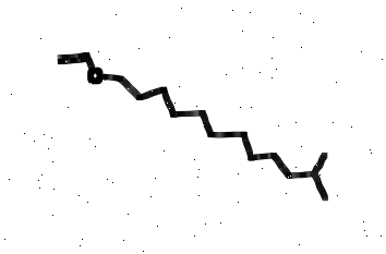 C=COCCCCCCCCCCC(C)C